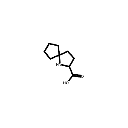 O=C(O)C1CCC2(CCCC2)N1